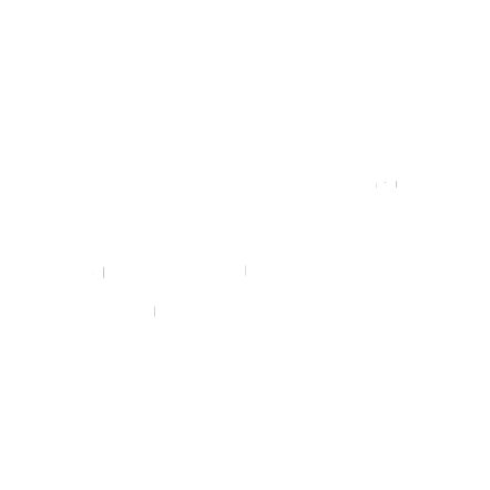 CCCCc1ccc2c(F)c(-c3ccc(Cl)c(F)c3)ccc2c1